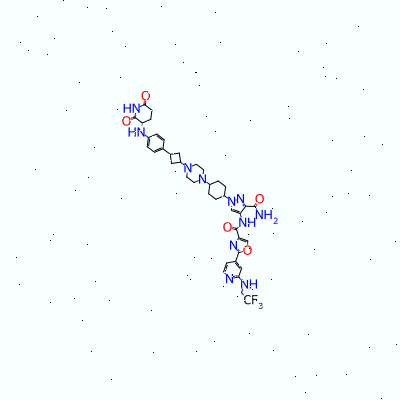 NC(=O)c1nn(C2CCC(N3CCN(C4CC(c5ccc(N[C@H]6CCC(=O)NC6=O)cc5)C4)CC3)CC2)cc1NC(=O)c1coc(-c2ccnc(NCC(F)(F)F)c2)n1